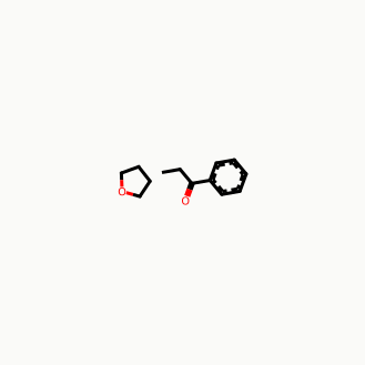 C1CCOC1.CCC(=O)c1ccccc1